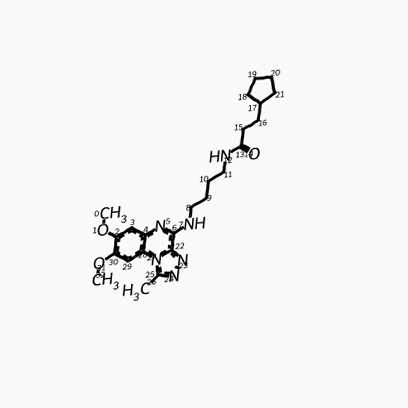 COc1cc2nc(NCCCCNC(=O)CCC3CCCC3)c3nnc(C)n3c2cc1OC